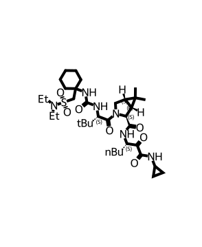 CCCC[C@H](NC(=O)[C@@H]1[C@@H]2[C@H](CN1C(=O)[C@@H](NC(=O)NC1(CS(=O)(=O)N(CC)CC)CCCCC1)C(C)(C)C)C2(C)C)C(=O)C(=O)NC1CC1